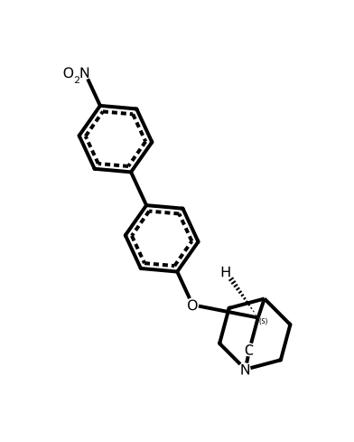 O=[N+]([O-])c1ccc(-c2ccc(O[C@@H]3CN4CCC3CC4)cc2)cc1